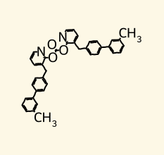 Cc1cccc(-c2ccc(Cc3cccnc3OC(=O)Oc3ncccc3Cc3ccc(-c4cccc(C)c4)cc3)cc2)c1